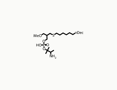 CCCCCCCCCCCCCCCCSCC(COC)COP(=O)(O)OC(C)(C)C(C)N